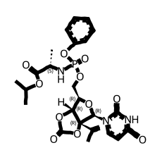 C=C(C)[C@@]12OC(=O)O[C@@H]1[C@@H](COP(=O)(N[C@@H](C)C(=O)OC(C)C)Oc1ccccc1)O[C@H]2n1ccc(=O)[nH]c1=O